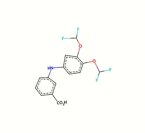 O=C(O)c1cccc(Nc2ccc(OC(F)F)c(OC(F)F)c2)c1